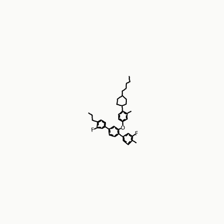 CCCCCC1CCC(c2ccc(Oc3cc(-c4ccc(CCC)c(F)c4)ccc3-c3ccc(C)c(F)c3)cc2C)CC1